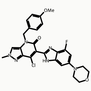 COc1ccc(Cn2c(=O)c(-c3nc4c(F)cc(N5CCOCC5)cc4[nH]3)c(Cl)c3nn(C)cc32)cc1